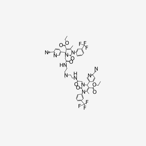 CCOC(=O)C1=C(C)N(c2cccc(C(F)(F)F)c2)C(=O)N(CC(=O)NCCN(C)CCNC(=O)CN2C(=O)N(c3cccc(C(F)(F)F)c3)C(C)=C(C(=O)OCC)C2c2ccc(C#N)nc2)C1c1ccc(C#N)nc1